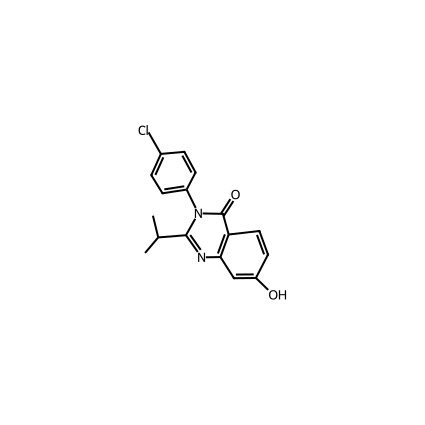 CC(C)c1nc2cc(O)ccc2c(=O)n1-c1ccc(Cl)cc1